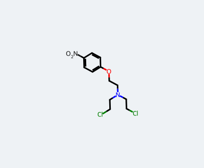 O=[N+]([O-])c1ccc(OCCN(CCCl)CCCl)cc1